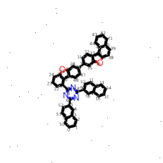 c1ccc2cc(-c3nc(-c4ccc5ccccc5c4)nc(-c4cccc5oc6cc(-c7ccc8c(c7)oc7ccc9ccccc9c78)ccc6c45)n3)ccc2c1